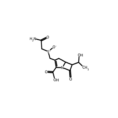 CC(O)C1C(=O)N2C(C(=O)O)=C(C[S+]([O-])CC(N)=O)CC12